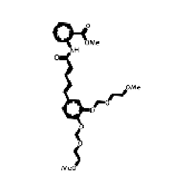 COCCOCOc1ccc(C=CC=CC(=O)Nc2ccccc2C(=O)OC)cc1OCOCCOC